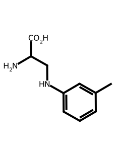 Cc1cccc(NCC(N)C(=O)O)c1